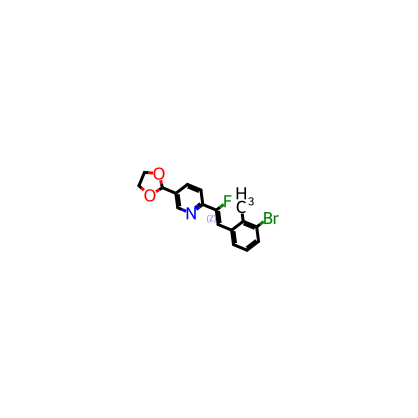 Cc1c(Br)cccc1/C=C(\F)c1ccc(C2OCCO2)cn1